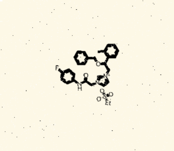 CCS(=O)(=O)[O-].Cc1ccccc1C(C[n+]1ccn(CC(=O)Nc2ccc(F)cc2)c1)OCc1ccccc1